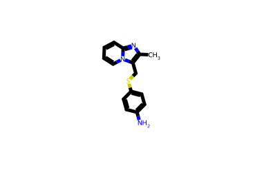 Cc1nc2ccccn2c1CSc1ccc(N)cc1